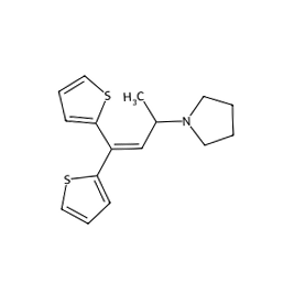 CC(C=C(c1cccs1)c1cccs1)N1CCCC1